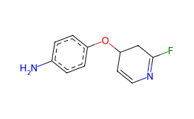 Nc1ccc(OC2C=CN=C(F)C2)cc1